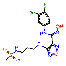 CS(=N)(=O)NCCCNc1nonc1/C(=N/O)Nc1ccc(F)c(Br)c1